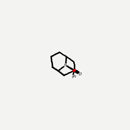 CC(C)CN1C2CCCC1CC(=O)C2